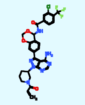 C=CC(=O)N1CCC[C@@H](n2nc(-c3ccc4c(c3)OCO[C@H]4NC(=O)c3ccc(C(F)(F)F)c(Cl)c3)c3c(N)ncnc32)C1